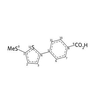 CSc1ccc(-c2ccc(C(=O)O)cc2)s1